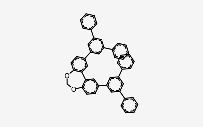 c1ccc(-c2cc(-c3ccccc3)cc(-c3ccc4c(c3)-c3cc(-c5cc(-c6ccccc6)cc(-c6ccccc6)c5)ccc3OCO4)c2)cc1